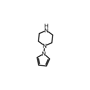 c1ccn(N2CCNCC2)c1